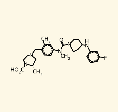 Cc1cc(N(C)C(=O)N2CCC(Nc3cccc(F)c3)CC2)ccc1CN1CCN(C(=O)O)[C@@H](C)C1